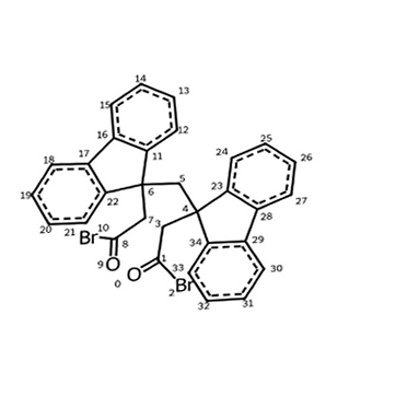 O=C(Br)CC1(CC2(CC(=O)Br)c3ccccc3-c3ccccc32)c2ccccc2-c2ccccc21